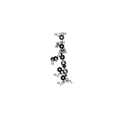 COc1cccc(CN2CCN(C3CC4(CCN(c5ccc(C(=O)NS(=O)(=O)c6ccc(NC[C@H]7CC[C@](C)(O)CC7)c([N+](=O)[O-])c6)c(Oc6cnc7[nH]ccc7c6)c5)CC4)C3)C(c3ccccc3C(C)C)C2)c1OC